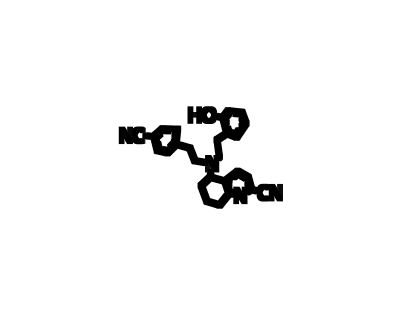 N#Cc1ccc(CCN(CCc2ccccc2O)C2CCCc3nc(C#N)ccc32)cc1